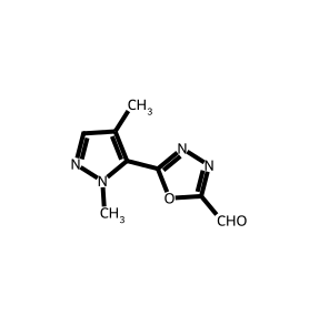 Cc1cnn(C)c1-c1nnc(C=O)o1